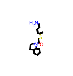 C=C(/C=C\C=C/N)SCC(=O)N1CCCc2ccccc21